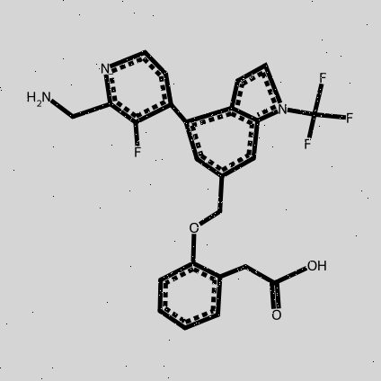 NCc1nccc(-c2cc(COc3ccccc3CC(=O)O)cc3c2ccn3C(F)(F)F)c1F